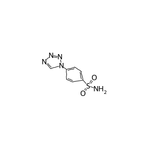 NS(=O)(=O)c1ccc(-n2cnnn2)cc1